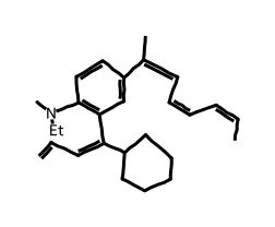 C=C/C=C(\c1cc(\C(C)=C/C=C\C=C/C)ccc1N(C)CC)C1CCCCC1